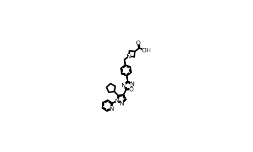 O=C(O)C1CN(Cc2ccc(-c3noc(-c4cnn(-c5ccccn5)c4C4CCCC4)n3)cc2)C1